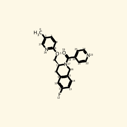 Cc1ccc(OC[C@@H]2Cc3cc(F)ccc3CN2C(=O)c2ccncc2)nc1